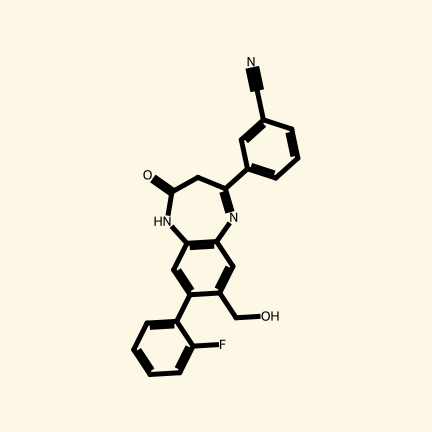 N#Cc1cccc(C2=Nc3cc(CO)c(-c4ccccc4F)cc3NC(=O)C2)c1